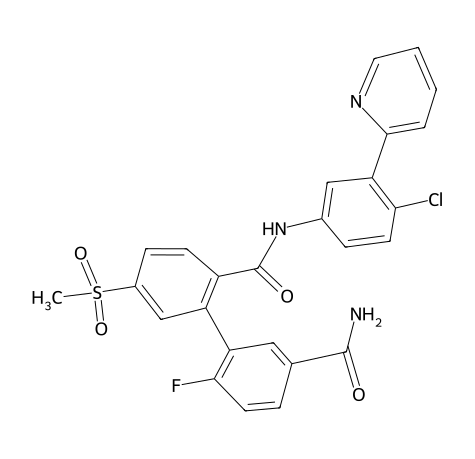 CS(=O)(=O)c1ccc(C(=O)Nc2ccc(Cl)c(-c3ccccn3)c2)c(-c2cc(C(N)=O)ccc2F)c1